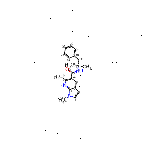 Cc1nc2c(ccn2C)cc1C(=O)NC(C)(C)Cc1ccccc1